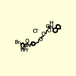 CCC[n+]1cc(Br)cc(C(=O)Nc2ccc(CCOCCOCCOC(=O)Nc3cccc4ccccc34)cc2)c1.[Cl-]